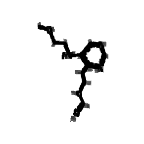 COCCNc1cncnc1CCOC=O